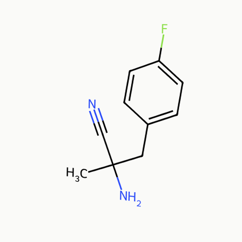 CC(N)(C#N)Cc1ccc(F)cc1